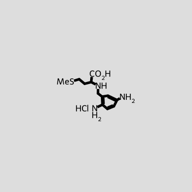 CSCCC(NCc1cc(N)ccc1N)C(=O)O.Cl